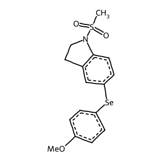 COc1ccc([Se]c2ccc3c(c2)CCN3S(C)(=O)=O)cc1